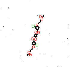 C=CC(=O)OCCCCOc1ccc(C(=O)Oc2ccc(OC(=O)c3ccc(OCCCCOC(=O)C=C)c(Cl)c3)cc2)cc1Cl